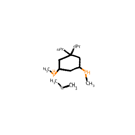 CCCC1(CCC)CC(PC)CC(PC)C1.[CH3][Ti][CH3]